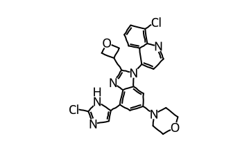 Clc1ncc(-c2cc(N3CCOCC3)cc3c2nc(C2COC2)n3-c2ccnc3c(Cl)cccc23)[nH]1